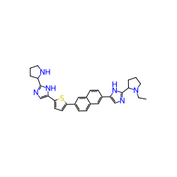 CCN1CCCC1c1ncc(-c2ccc3cc(-c4ccc(-c5cnc(C6CCCN6)[nH]5)s4)ccc3c2)[nH]1